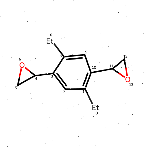 CCc1cc(C2CO2)c(CC)cc1C1CO1